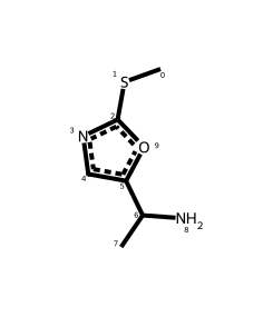 CSc1ncc(C(C)N)o1